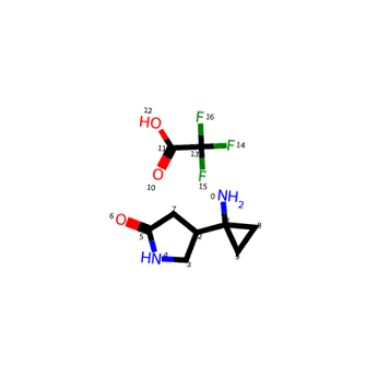 NC1(C2CNC(=O)C2)CC1.O=C(O)C(F)(F)F